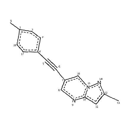 Cc1ccc(C#Cc2cnc3cc(C)nn3c2)cc1